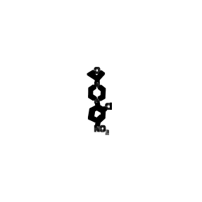 O=[N+]([O-])c1ccc(N2CCN(C3COC3)CC2)c(Cl)c1